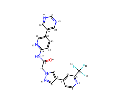 O=C(Cn1cc(-c2ccnc(C(F)(F)F)c2)cn1)Nc1ccc(-c2cncnc2)cn1